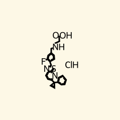 Cl.O=C(O)CCNCc1ccc(-c2nc3ccc(C4(c5ccccc5)C=C4)nc3s2)c(F)c1